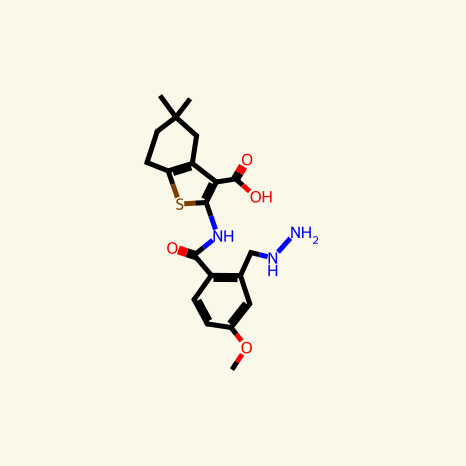 COc1ccc(C(=O)Nc2sc3c(c2C(=O)O)CC(C)(C)CC3)c(CNN)c1